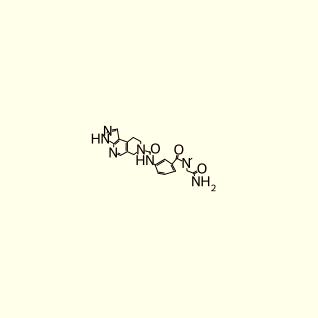 CN(CC(N)=O)C(=O)c1cccc(NC(=O)N2CCc3c(cnc4[nH]ncc34)C2)c1